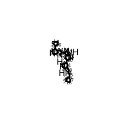 c1csc(-c2cncc3[nH]c(-c4n[nH]c5ncc(-c6cncc(CNCC7CCCC7)c6)cc45)cc23)c1